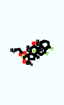 CCC(=O)O[C@]1(C(O)=S)[C@H](C)C[C@H]2[C@@H]3C[C@H](F)C4=C(F)CC=C[C@]4(C)[C@@]3(F)[C@@H](O)C[C@@]21C